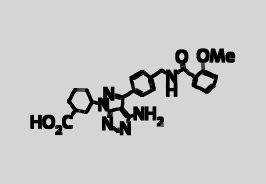 COc1ccccc1C(=O)NCc1ccc(-c2nn(C3CCCC(C(=O)O)C3)c3ncnc(N)c23)cc1